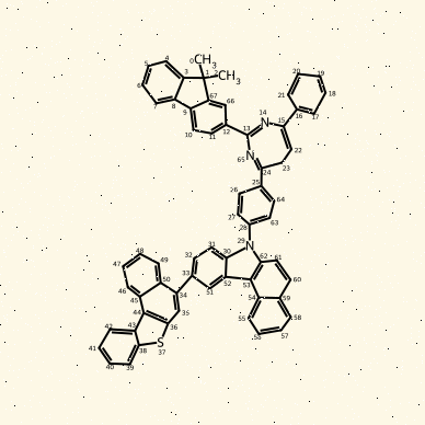 CC1(C)c2ccccc2-c2ccc(C3=NC(c4ccccc4)=CCC(c4ccc(-n5c6ccc(-c7cc8sc9ccccc9c8c8ccccc78)cc6c6c7ccccc7ccc65)cc4)=N3)cc21